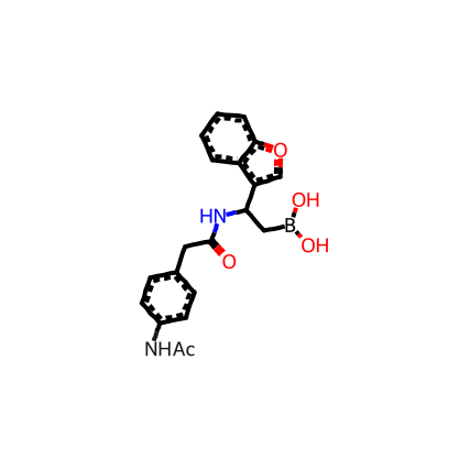 CC(=O)Nc1ccc(CC(=O)NC(CB(O)O)c2coc3ccccc23)cc1